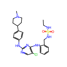 CCNS(=O)(=O)NCc1ccccc1Nc1nc(Nc2ccc(C3CCN(C)CC3)cc2)ncc1Cl